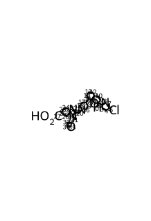 [2H][C@]1(c2ccc(Cl)cn2)C=Cc2cccc(C3CCN(Cc4nc5ccc(C(=O)O)cc5n4C[C@@H]4CCO4)CC3)c2O1